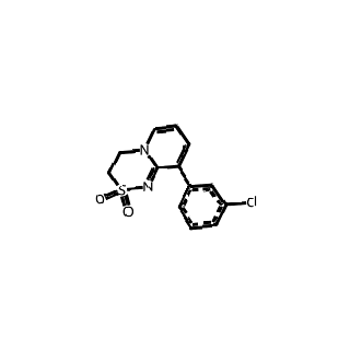 O=S1(=O)CCN2C=CC=C(c3cccc(Cl)c3)C2=N1